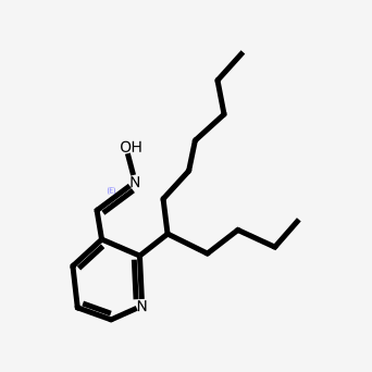 CCCCCCC(CCCC)c1ncccc1/C=N/O